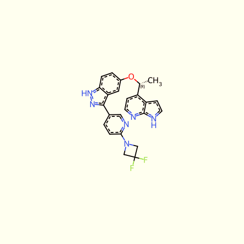 C[C@@H](Oc1ccc2[nH]nc(-c3ccc(N4CC(F)(F)C4)nc3)c2c1)c1ccnc2[nH]ccc12